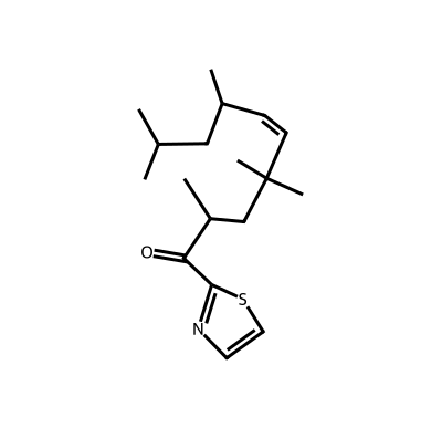 CC(C)CC(C)/C=C\C(C)(C)CC(C)C(=O)c1nccs1